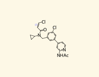 CC(=O)Nc1cc(-c2cc(Cl)cc(CN(C(=O)/C=C\Cl)C3CC3)c2)ccn1